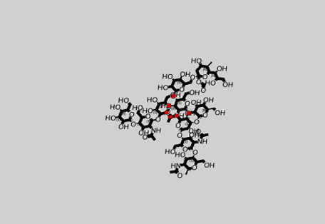 CC(=O)NC1C(O)[C@H](O[C@@H]2OC(CO)[C@H](O)[C@H](O)C2O)C(CO)O[C@H]1OC1[C@@H](OCC2O[C@@H](O[C@@H]3C(CO)O[C@@H](O[C@@H]4C(CO)O[C@@H](C)C(NC(C)=O)[C@H]4O)C(NC(C)=O)[C@H]3O)C(O)[C@@H](O[C@H]3O[C@H](CO)C(O)C(O)C3O[C@@H]3OC(CO)[C@@H](O[C@@H]4OC(CO[C@]5(OC=O)CC(O)[C@@H](C)C([C@@H](O)C(O)CO)O5)[C@H](O)[C@H](O)C4O)[C@H](O)C3NC(C)=O)[C@@H]2O)OC(CO)[C@@H](O)[C@@H]1O